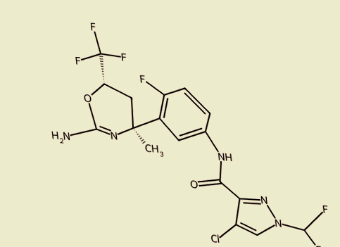 C[C@@]1(c2cc(NC(=O)c3nn(C(F)F)cc3Cl)ccc2F)C[C@@H](C(F)(F)F)OC(N)=N1